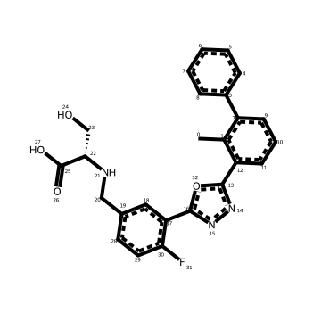 Cc1c(-c2ccccc2)cccc1-c1nnc(-c2cc(CN[C@@H](CO)C(=O)O)ccc2F)o1